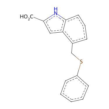 O=C(O)c1cc2c(CSc3ccccc3)cccc2[nH]1